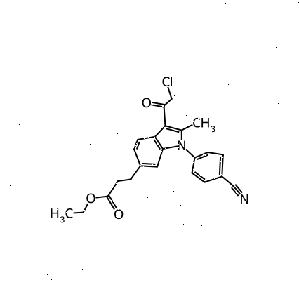 CCOC(=O)CCc1ccc2c(C(=O)CCl)c(C)n(-c3ccc(C#N)cc3)c2c1